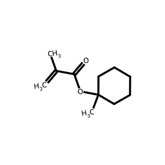 C=C(C)C(=O)OC1(C)CCCCC1